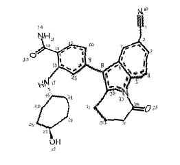 N#Cc1ccc2c(c1)c(-c1ccc(C(N)=O)c(N[C@H]3CC[C@H](O)CC3)c1)c1n2C(=O)CCC1